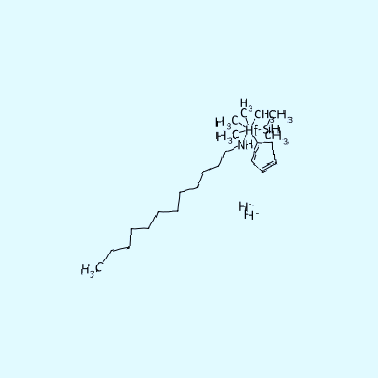 CCCCCCCCCCCC[NH][Hf]([CH3])([CH3])([CH3])([CH3])([C]1=CC=CC1)[SiH](C)C.[H-].[H-]